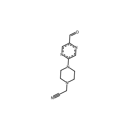 N#CCN1CCN(c2cnc(C=O)cn2)CC1